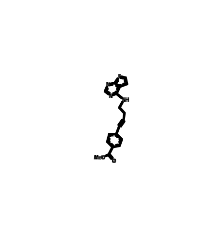 COC(=O)c1ccc(C#CCCNc2ncnc3sccc23)cc1